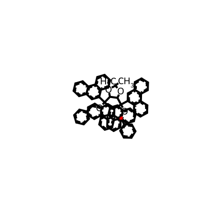 CC1(C)OC(C(OCc2ccccc2)(c2cc3ccccc3c3ccccc23)c2cc3ccccc3c3ccccc23)C(C(OCc2ccccc2)(c2cc3ccccc3c3ccccc23)c2cc3ccccc3c3ccccc23)O1